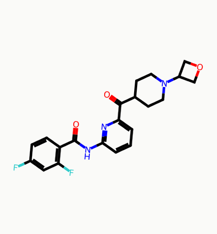 O=C(Nc1cccc(C(=O)C2CCN(C3COC3)CC2)n1)c1ccc(F)cc1F